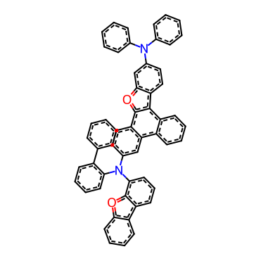 c1ccc(-c2ccccc2N(c2ccc3c(c2)c2ccccc2c2c4ccc(N(c5ccccc5)c5ccccc5)cc4oc32)c2cccc3c2oc2ccccc23)cc1